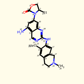 CCC1COC(=O)N1c1cc(N)c2cnc(Nc3cc4c(cc3OC)CCN(C)C4)nc2c1